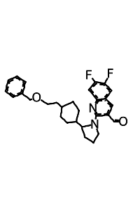 O=Cc1cc2cc(F)c(F)cc2nc1N1CCCC1C1CCC(CCOCc2ccccc2)CC1